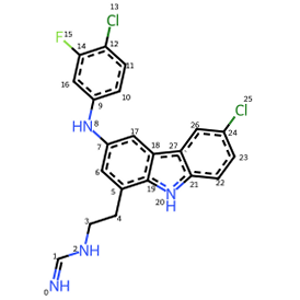 N=CNCCc1cc(Nc2ccc(Cl)c(F)c2)cc2c1[nH]c1ccc(Cl)cc12